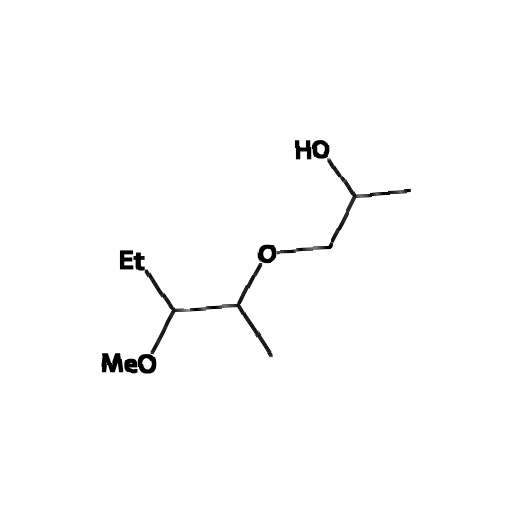 CCC(OC)C(C)OCC(C)O